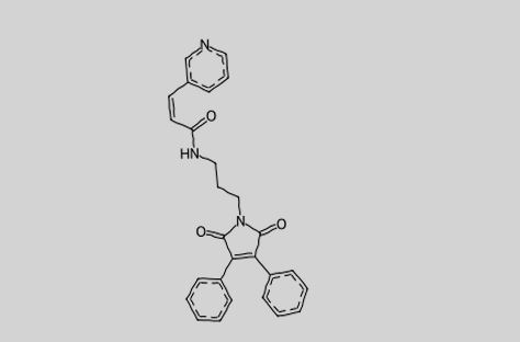 O=C(/C=C\c1cccnc1)NCCCN1C(=O)C(c2ccccc2)=C(c2ccccc2)C1=O